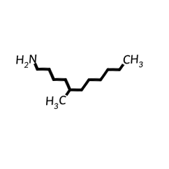 CCCCCCC(C)CCCCN